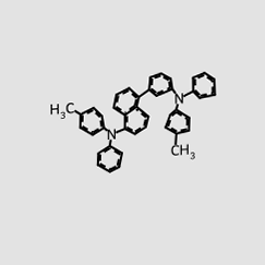 Cc1ccc(N(c2ccccc2)c2cccc(-c3cccc4c(N(c5ccccc5)c5ccc(C)cc5)cccc34)c2)cc1